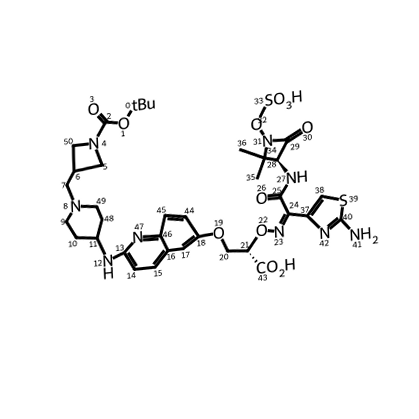 CC(C)(C)OC(=O)N1CC(CN2CCC(Nc3ccc4cc(OC[C@H](O/N=C(\C(=O)N[C@@H]5C(=O)N(OS(=O)(=O)O)C5(C)C)c5csc(N)n5)C(=O)O)ccc4n3)CC2)C1